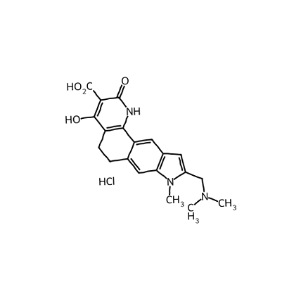 CN(C)Cc1cc2cc3c(cc2n1C)CCc1c-3[nH]c(=O)c(C(=O)O)c1O.Cl